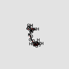 CN(CCCOc1nc(N2CCNCC2)c2cc(Cl)c(-c3cc(O)cc4ccccc34)c(F)c2n1)CCC(=O)CCC(=O)CCC(=O)CCNC1(C(=O)O)C=CC=C2C(=O)N(C3CCC(=O)NC3=O)C(=O)C21